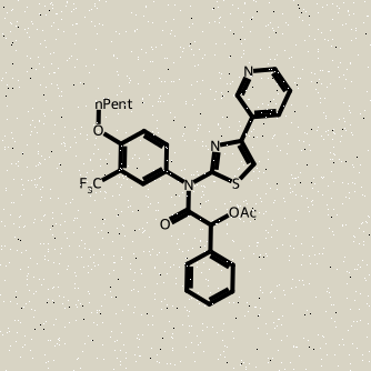 CCCCCOc1ccc(N(C(=O)C(OC(C)=O)c2ccccc2)c2nc(-c3cccnc3)cs2)cc1C(F)(F)F